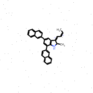 C/C=C\C=C1\c2cc(-c3ccc4ccccc4c3)cc(-c3ccc4ccccc4c3)c2NC1C